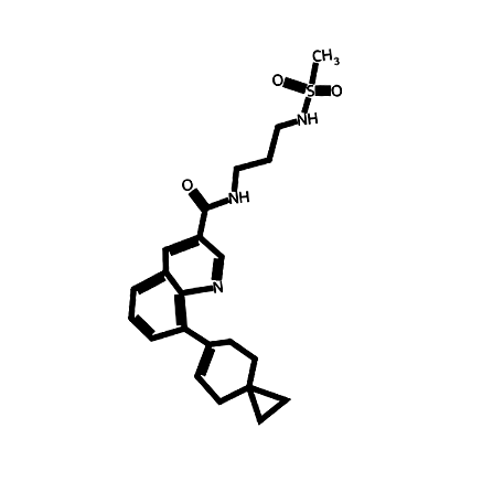 CS(=O)(=O)NCCCNC(=O)c1cnc2c(C3=CCC4(CC3)CC4)cccc2c1